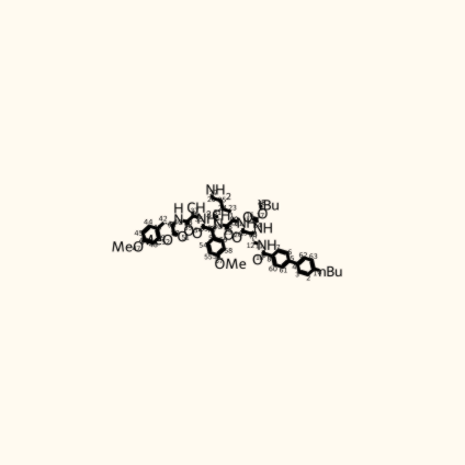 CCCCc1ccc(-c2ccc(C(=O)NC[C@@H](NC(=O)OC(C)(C)C)C(=O)N[C@@H](CCCCN)C(=O)N(C)[C@H](C(=O)N[C@@H](C)C(=O)N[C@@H](Cc3ccc(OC)cc3)C(=O)OC)c3ccc(OC)cc3)cc2)cc1